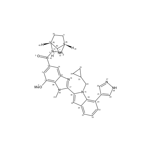 COc1cc(C(=O)N2C[C@H]3CC[C@@H]2[C@@H]3N)cc2nc(-c3cc4cccc(-c5cn[nH]c5)c4n3CC3CC3)n(C)c12